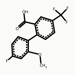 COc1cc(F)ccc1-c1ccc(C(F)(F)F)cc1C(=O)O